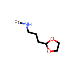 CCNCCCC1OCCO1